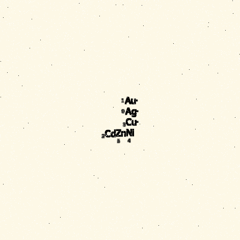 [Ag].[Au].[Cd].[Cu].[Ni].[Zn]